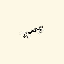 O=P(O)(S)NCCCNP(=O)(O)S